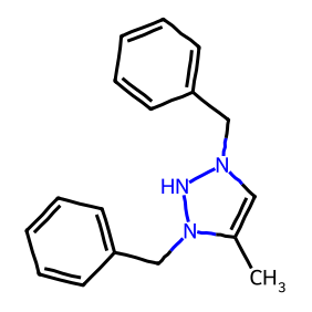 CC1=CN(Cc2ccccc2)NN1Cc1ccccc1